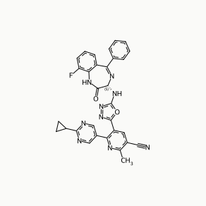 Cc1nc(-c2cnc(C3CC3)nc2)c(-c2nnc(N[C@H]3N=C(c4ccccc4)c4cccc(F)c4NC3=O)o2)cc1C#N